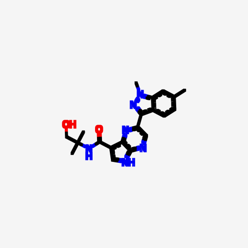 Cc1ccc2c(-c3cnc4[nH]cc(C(=O)NC(C)(C)CO)c4n3)nn(C)c2c1